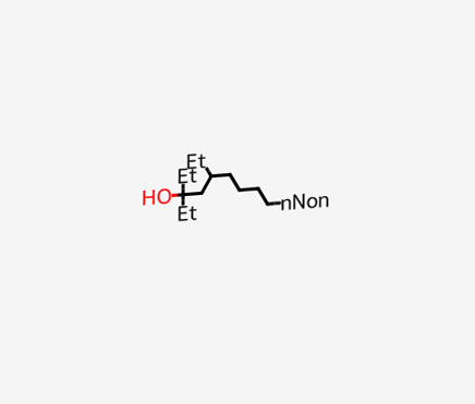 CCCCCCCCCCCCCC(CC)CC(O)(CC)CC